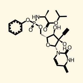 C#C[C@@]1(O)[C@H](O)[C@@H](CO[P@@](=O)(N[C@@H](C)C(=O)OC(C)C)Oc2ccccc2)O[C@H]1N1C=CC(=C)NC1=O